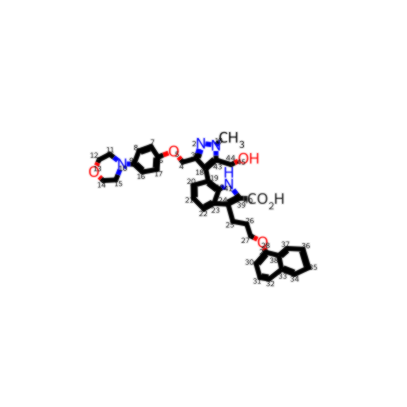 Cn1nc(COc2ccc(N3CCOCC3)cc2)c(-c2cccc3c(CCCOc4cccc5ccccc45)c(C(=O)O)[nH]c23)c1CO